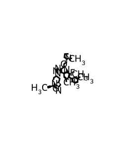 CC#CC(=O)N1CC[C@H](n2nnc3c(OC[C@@H]4CCCN4C)nc4c(F)c(-c5cccc(C)c5C)c(C)cc4c32)C[C@H]1CC#N